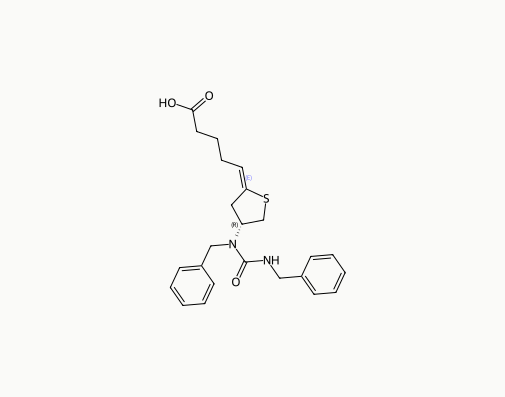 O=C(O)CCC/C=C1\C[C@@H](N(Cc2ccccc2)C(=O)NCc2ccccc2)CS1